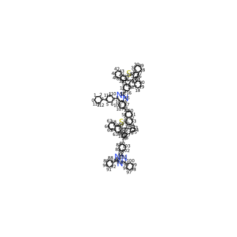 c1ccc(-c2ccc(-c3nc(-c4ccc5c(c4)-c4ccccc4C54c5ccc6ccccc6c5Sc5c4ccc4ccccc54)nc4cc(-c5ccc6ccc7c(c6c5)Sc5c(ccc6ccccc56)C75c6ccccc6-c6cc(-c7ccc(-c8nc(-c9ccccc9)nc(-c9ccccc9)n8)cc7)ccc65)ccc34)cc2)cc1